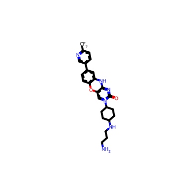 NCCCNC1CCC(n2cc3c(nc2=O)Nc2cc(-c4ccc(C(F)(F)F)nc4)ccc2O3)CC1